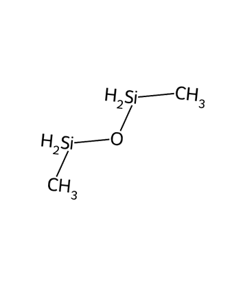 C[SiH2]O[SiH2]C